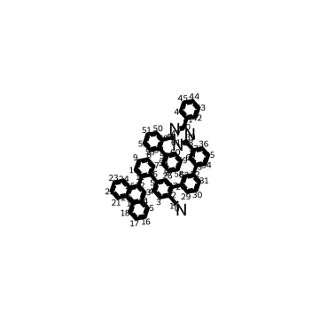 N#Cc1ccc(-c2ccccc2-c2cc3ccccc3c3ccccc23)cc1-c1cccc(-c2cccc(-c3nc(-c4ccccc4)nc(-c4ccccc4-c4ccccc4)n3)c2)c1